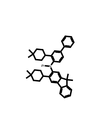 CC(C)N(c1ccc(-c2ccccc2)cc1C1CCC(C)(C)CC1)c1cc2c(cc1C1CCC(C)(C)CC1)-c1ccccc1C2(C)C